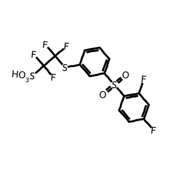 O=S(=O)(c1cccc(SC(F)(F)C(F)(F)S(=O)(=O)O)c1)c1ccc(F)cc1F